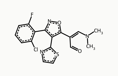 CN(C)/C=C(\C=O)c1onc(-c2c(F)cccc2Cl)c1-c1nccs1